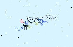 CCOC(=O)Cc1nc(SCC2=C(C(=O)O)N3C(=O)C(N)[C@H]3SC2)n[nH]1